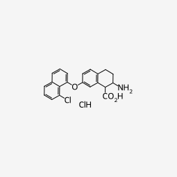 Cl.NC1CCc2ccc(Oc3cccc4cccc(Cl)c34)cc2C1C(=O)O